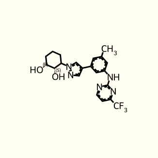 Cc1cc(Nc2nccc(C(F)(F)F)n2)cc(-c2cnn(C3CCC[C@@H](O)[C@H]3O)c2)c1